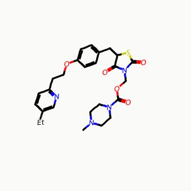 CCc1ccc(CCOc2ccc(CC3SC(=O)N(COC(=O)N4CCN(C)CC4)C3=O)cc2)nc1